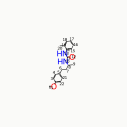 COc1ccc(CCC(C)NC(=O)Nc2ccccc2C)cc1